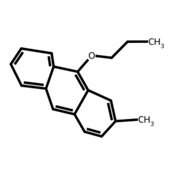 CCCOc1c2ccccc2cc2ccc(C)cc12